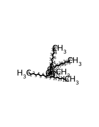 CCCCCCCCP(CCCCCCCC)[O][Ti](=[O])([CH2]CC)[O]P(CCCCCCCC)CCCCCCCC